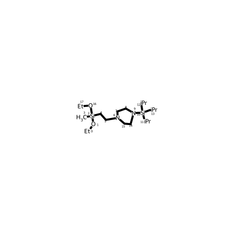 CCO[Si](C)(CCN1CCN([Si](C(C)C)(C(C)C)C(C)C)CC1)OCC